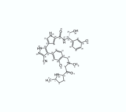 CC1CCC(C(=O)CN(C)Cc2ccc(-c3c(C#N)n[nH]c3-c3c[nH]c(C(=O)N[C@H](CO)c4cccc(Cl)c4)c3)cc2Cl)N1